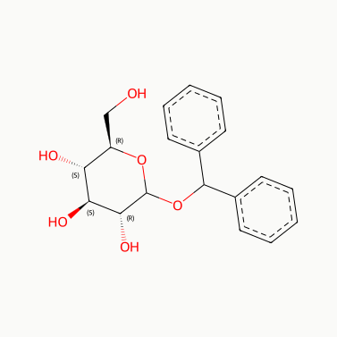 OC[C@H]1OC(OC(c2ccccc2)c2ccccc2)[C@H](O)[C@@H](O)[C@@H]1O